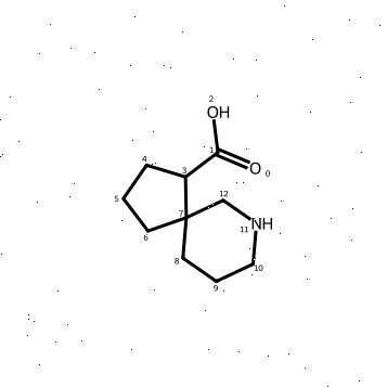 O=C(O)C1CCCC12CCCNC2